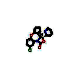 O=C1O[C@@H](c2ccccn2)[C@@H]2c3ccccc3Oc3ccc(Cl)cc3N12